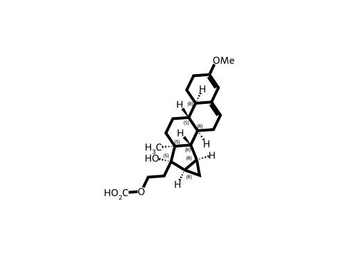 COC1=CC2=CC[C@@H]3[C@H](CC[C@@]4(C)[C@H]3[C@H]3C[C@H]3[C@@]4(O)CCOC(=O)O)[C@H]2CC1